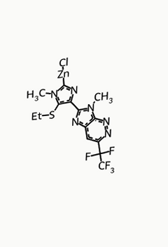 CCSc1c(-c2nc3cc(C(F)(F)C(F)(F)F)nnc3n2C)n[c]([Zn][Cl])n1C